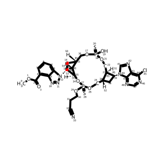 COC(=O)c1cccc2c1nnn2[C@@H]1O[C@@H]2COP(O)(=S)OC[C@@H]3[C@@H](COP(=S)(OCCC#N)O[C@@H]1[C@@H]2F)C[C@H]3n1cnc2c(Cl)ncnc21